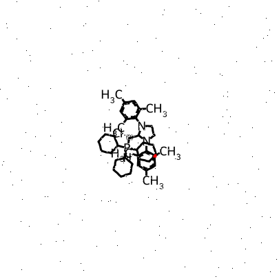 Cc1cc(C)c(N2CCN(c3c(C)cc(C)cc3C)C2[C@@H](Cl)[PH](C2CCCCC2)(C2CCCCC2)C2CCCCC2)c(C)c1